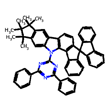 CC1(C)c2cc3c4ccc5c(c4n(-c4nc(-c6ccccc6)nc(-c6ccccc6)n4)c3cc2C(C)(C)C1(C)C)-c1ccccc1C51c2ccccc2-c2ccccc21